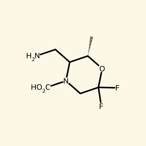 C[C@@H]1OC(F)(F)CN(C(=O)O)C1CN